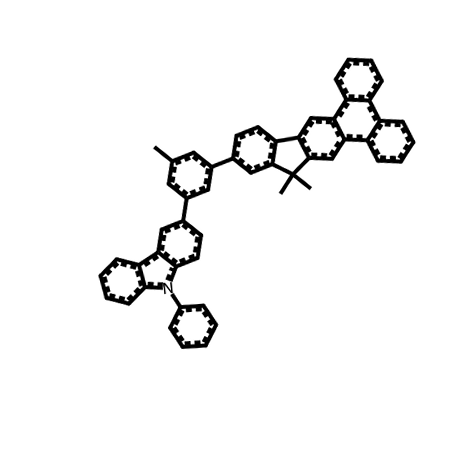 Cc1cc(-c2ccc3c(c2)C(C)(C)c2cc4c5ccccc5c5ccccc5c4cc2-3)cc(-c2ccc3c(c2)c2ccccc2n3-c2ccccc2)c1